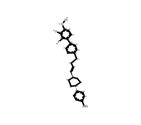 CCCc1ccc([C@H]2CC[C@H](/C=C/CCc3ccc(-c4ccc(OCC)c(F)c4F)cc3)CC2)cc1